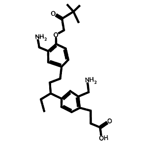 CCC(CCc1ccc(OCC(=O)C(C)(C)C)c(CN)c1)c1ccc(CCC(=O)O)c(CN)c1